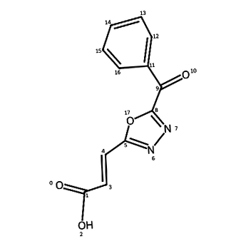 O=C(O)/C=C/c1nnc(C(=O)c2ccccc2)o1